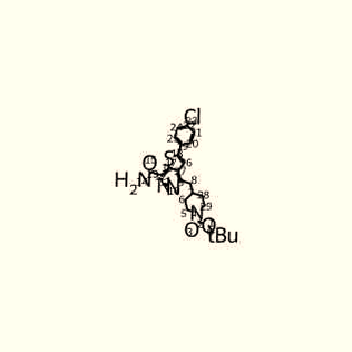 CC(C)(C)OC(=O)N1CCC(Cc2nnc(C(N)=O)c3sc(-c4ccc(Cl)cc4)cc23)CC1